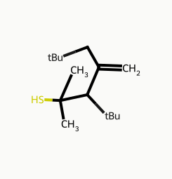 C=C(CC(C)(C)C)C(C(C)(C)C)C(C)(C)S